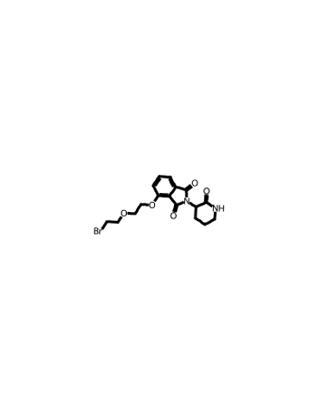 O=C1NCCCC1N1C(=O)c2cccc(OCCOCCBr)c2C1=O